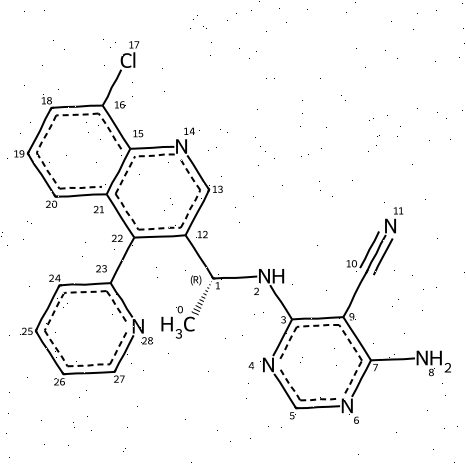 C[C@@H](Nc1ncnc(N)c1C#N)c1cnc2c(Cl)cccc2c1-c1ccccn1